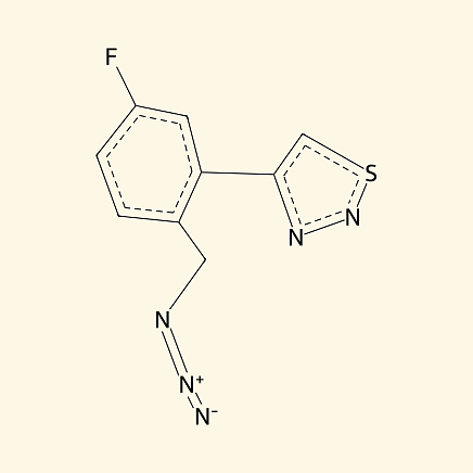 [N-]=[N+]=NCc1ccc(F)cc1-c1csnn1